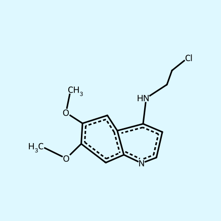 COc1cc2nccc(NCCCl)c2cc1OC